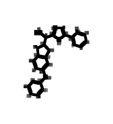 OC(c1ncc(-c2ccccn2)o1)C1Cc2ccc(Oc3ccccc3)cc2C1